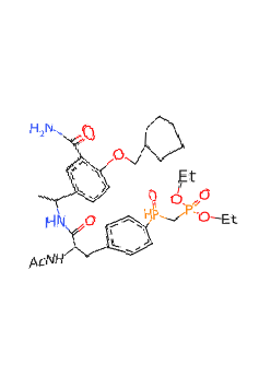 CCOP(=O)(C[PH](=O)c1ccc(CC(NC(C)=O)C(=O)NC(C)c2ccc(OCC3CCCCC3)c(C(N)=O)c2)cc1)OCC